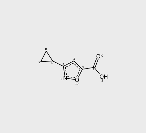 O=C(O)c1cc(C2CC2)no1